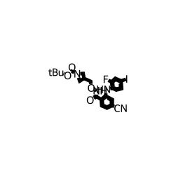 CC(C)(C)OC(=O)N1CC(CONC(=O)c2ccc(C#N)cc2Nc2ccc(I)cc2F)C1